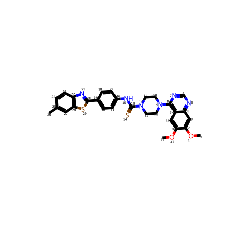 COc1cc2ncnc(N3CCN(C(=S)Nc4ccc(-c5nc6ccc(C)cc6s5)cc4)CC3)c2cc1OC